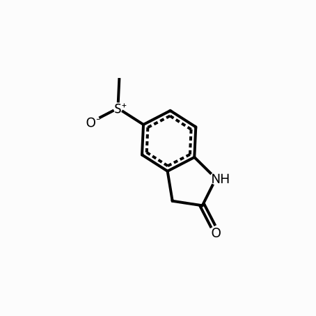 C[S+]([O-])c1ccc2c(c1)CC(=O)N2